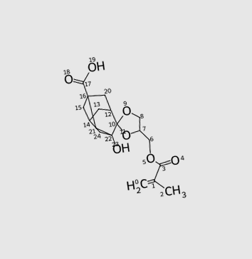 C=C(C)C(=O)OCC1COC2(O1)C1CC3CC(C(=O)O)(C1)CC2(O)C3